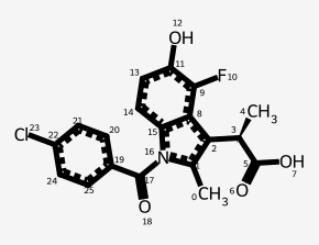 Cc1c([C@@H](C)C(=O)O)c2c(F)c(O)ccc2n1C(=O)c1ccc(Cl)cc1